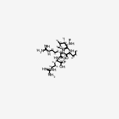 CC[C@H](C)[C@H](NC(=O)[C@@H](NF)[C@@H](C)C(C)OC)C(=O)N[C@@H](CCCNC(=N)N)C(=O)N[C@@H](CCCNC(=N)N)C(=O)O